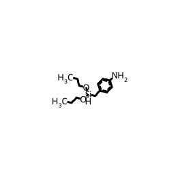 CCCO[SiH](Cc1ccc(N)cc1)OCCC